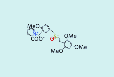 COc1cc(OC)c(/C=C/[S+]([O-])Cc2ccc(OC)c(C(C(=O)[O-])[n+]3ccccc3)c2)c(OC)c1